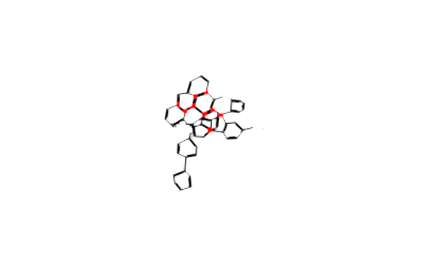 CC(C)(C)c1ccc2c(c1)C1(c3ccccc3Oc3ccc(-c4ccccc4N(c4ccc(-c5ccccc5)cc4)c4ccccc4-c4cccc5ccccc45)cc31)c1cc(C(C)(C)C)ccc1-2